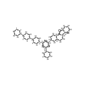 c1ccc(-c2ccc(-c3ccc(-c4nc(-c5ccccc5)nc(-c5ccc6c(ccc7c8ncccc8oc67)c5)n4)cc3)cc2)cc1